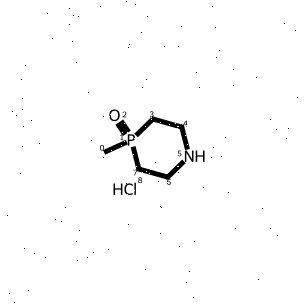 CP1(=O)CCNCC1.Cl